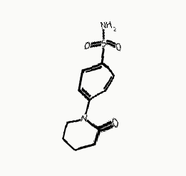 NS(=O)(=O)c1ccc(N2CCCCC2=O)cc1